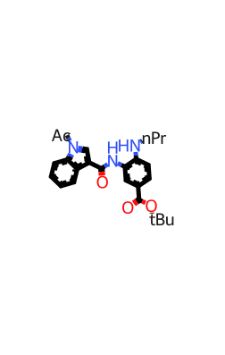 CCCNc1ccc(C(=O)OC(C)(C)C)cc1NC(=O)c1cn(C(C)=O)c2ccccc12